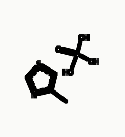 Cc1cscn1.O=P(O)(O)O